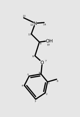 Cc1c[c]ccc1OCC(O)CN(C)C